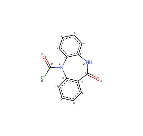 O=C1Nc2ccccc2N(C(=O)Cl)c2ccccc21